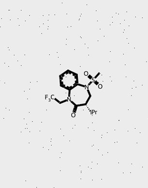 CC(C)[C@H]1CN(S(C)(=O)=O)c2ccccc2N(CC(F)(F)F)C1=O